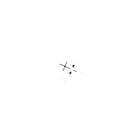 O=S(=O)(O)C(F)(F)F.[Nb]